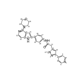 Cn1nc(-c2ccncc2)cc1CC(=O)Nc1ccc(-c2cc3c(N4CCOCC4)nccc3[nH]2)cc1